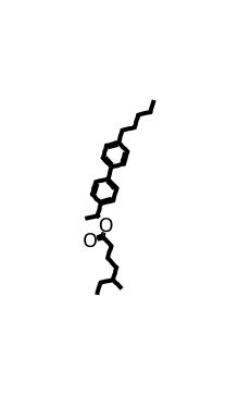 CCCCCc1ccc(-c2ccc(C(C)OC(=O)CCCC(C)CC)cc2)cc1